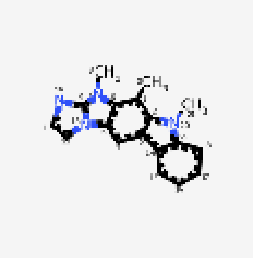 Cc1c2c(cc3c1n(C)c1nccn31)c1ccccc1n2C